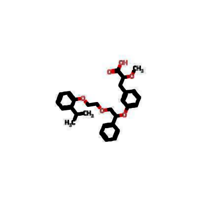 COC(Cc1cccc(OC(COCCOc2ccccc2C(C)C)c2ccccc2)c1)C(=O)O